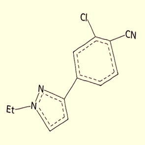 CCn1ccc(-c2ccc(C#N)c(Cl)c2)n1